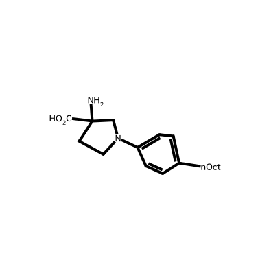 CCCCCCCCc1ccc(N2CCC(N)(C(=O)O)C2)cc1